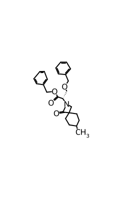 CC1CCC2(CC1)CN([C@@H](COCc1ccccc1)C(=O)OCc1ccccc1)C2=O